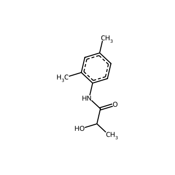 Cc1ccc(NC(=O)C(C)O)c(C)c1